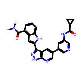 CCN(CC)C(=O)c1cccc2[nH]c(-c3n[nH]c4ncc(-c5cncc(NC(=O)C6CC6)c5)cc34)cc12